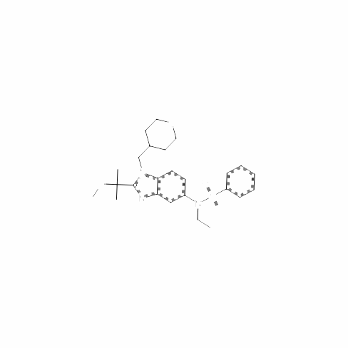 CCN(c1ccc2c(c1)nc(C(C)(C)OC)n2CC1CCOCC1)S(=O)(=O)c1ccccc1